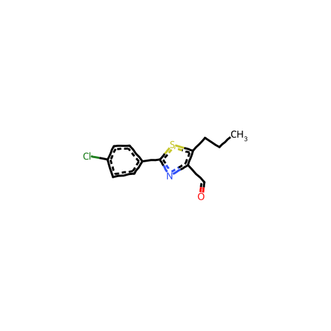 CCCc1sc(-c2ccc(Cl)cc2)nc1C=O